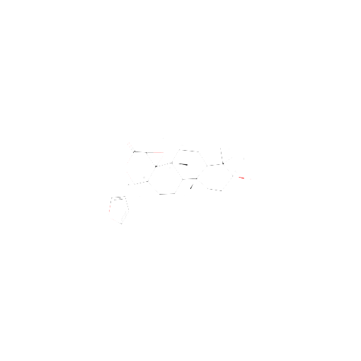 CC(=O)O[C@@H]1CC2C(C)(C)[C@@H](O)CC[C@]2(C)C2CC[C@@]3(C)[C@H](c4ccoc4)OC(=O)C4OC43[C@@]21C